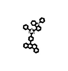 C1=Cc2c(c3c(-c4nc(-c5ccccc5)nc(-c5ccc(-c6c7ccccc7cc7c6ccc6ccccc67)cc5)n4)cccc3n2-c2ccccc2)CC1